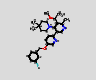 Cc1ncc(-c2ccc(OCc3cccc(F)c3)cn2)c(N2CCC(C)(C)CC2)c1C(OC(C)(C)C)C(=O)O